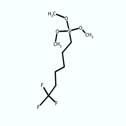 CO[Si](CCCCCC(F)(F)F)(OC)OC